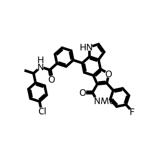 CNC(=O)c1c(-c2ccc(F)cc2)oc2c1cc(-c1cccc(C(=O)NC(C)c3ccc(Cl)cc3)c1)c1[nH]ccc12